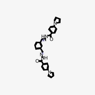 O=C(N/N=C/c1cccc(/C=N/NC(=O)c2ccc(-n3cccc3)cc2)c1)c1ccc(-n2cccc2)cc1